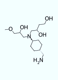 COCC(O)CN(CC(O)CCO)[C@H]1CC[C@H](CN)CC1